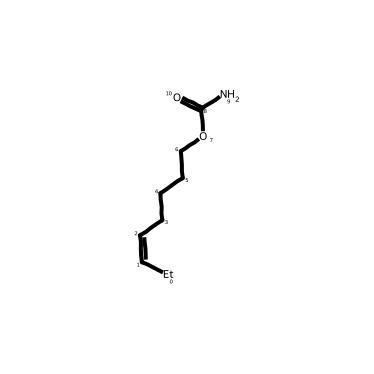 CC/C=C\CCCCOC(N)=O